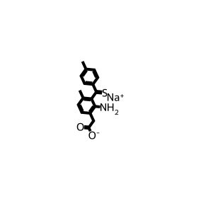 Cc1ccc(C(=S)c2c(C)ccc(CC(=O)[O-])c2N)cc1.[Na+]